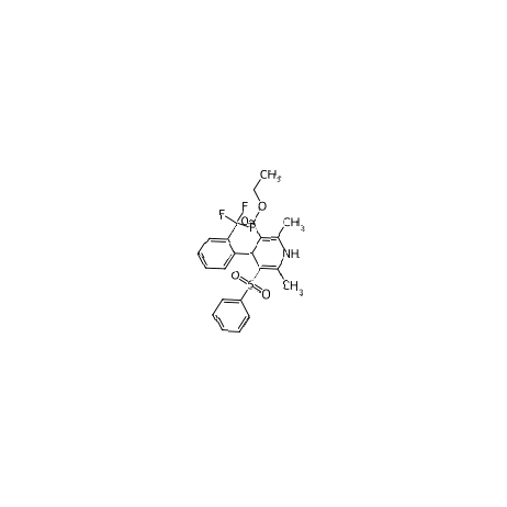 CCOC(=O)C1=C(C)NC(C)=C(S(=O)(=O)c2ccccc2)C1c1ccccc1C(F)(F)F